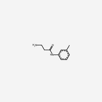 Cc1cccc(NC(=O)CCN)c1